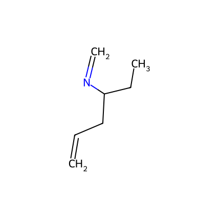 C=CCC(CC)N=C